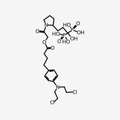 O=C(CCCc1ccc(N(CCCl)CCCl)cc1)OCC(=O)N1CCCC1CCC(O)(P(=O)(O)O)P(=O)(O)O